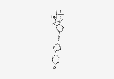 CC(Nc1nc2cc(C#Cc3ccc(-c4ccc(Cl)cc4)cn3)ccc2n1C)C(C)(C)C